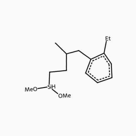 CCc1ccccc1CC(C)CC[SiH](OC)OC